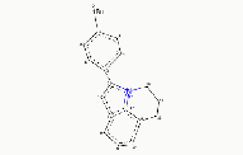 CC(C)(C)c1ccc(-c2cc3cccc4c3n2CCC4)cc1